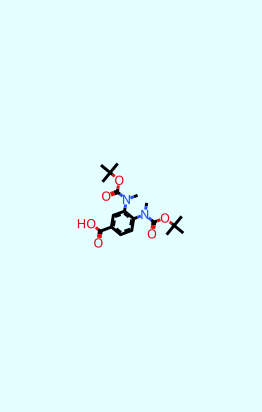 CN(C(=O)OC(C)(C)C)c1ccc(C(=O)O)cc1N(C)C(=O)OC(C)(C)C